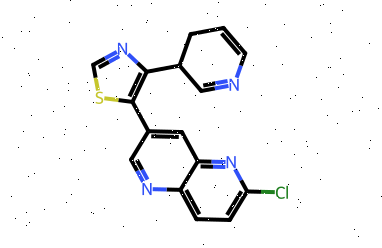 Clc1ccc2ncc(-c3scnc3C3C=NC=CC3)cc2n1